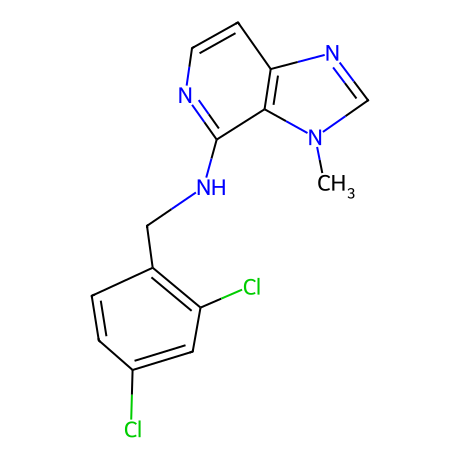 Cn1cnc2ccnc(NCc3ccc(Cl)cc3Cl)c21